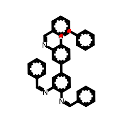 C(=N/c1ccc(-c2ccc(/N=C\c3ccccc3)c(/N=C\c3ccccc3)c2)cc1/N=C\c1ccccc1)/c1ccccc1